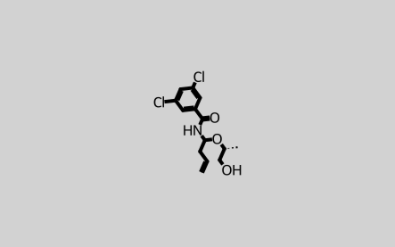 C=CCC(NC(=O)c1cc(Cl)cc(Cl)c1)O[C@H](C)CO